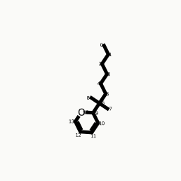 CCCCCCC(C)(C)C1C=CC=CO1